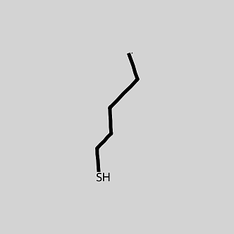 [CH2]CCCCS